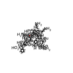 CC[C@H](C)[C@H](N)C(=O)N[C@@H](CCC(N)=O)C(=O)N[C@H](C(=O)N[C@@H](Cc1ccc(O)cc1)C(=O)N[C@@H](CCCCN)C(=O)N[C@@H](CCCCN)C(=O)N[C@@H](CC(C)C)C(=O)N[C@@H](CCCNC(=N)N)C(=O)N[C@H](C(=O)N[C@@H](CO)C(=O)N[C@@H](CO)C(=O)N[C@@H](Cc1ccccc1)C(=O)O)[C@@H](C)O)[C@@H](C)CC